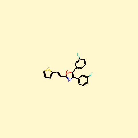 Fc1cccc(-c2nc(/C=C/c3cccs3)oc2-c2cccc(F)c2)c1